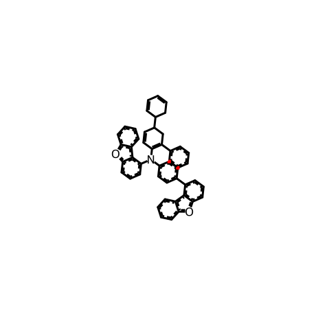 C1=CCC(C2C=CC(N(c3ccc(-c4cccc5oc6ccccc6c45)cc3)c3cccc4oc5ccccc5c34)=C(c3ccccc3)C2)C=C1